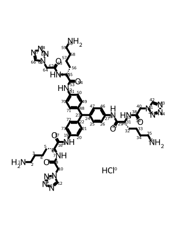 Cl.NCCCC[C@@H](NC(=O)Cn1cnnn1)C(=O)Nc1ccc(C(c2ccc(NC(=O)[C@@H](CCCCN)NC(=O)Cn3cnnn3)cc2)c2ccc(NC(=O)[C@@H](CCCCN)NC(=O)Cn3cnnn3)cc2)cc1